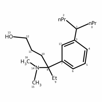 CCCC(CCC)c1cccc(C(CC)(CCCO)N(C)C)c1